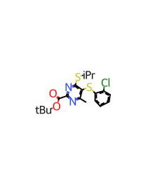 Cc1nc(C(=O)OC(C)(C)C)nc(SC(C)C)c1Sc1ccccc1Cl